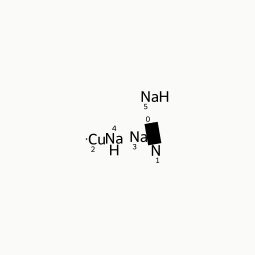 C#N.[Cu].[NaH].[NaH].[NaH]